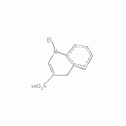 CCN1C=C(C(=O)O)Cc2ccccc21